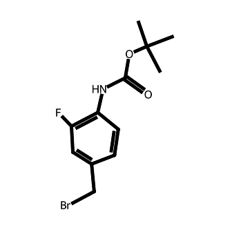 CC(C)(C)OC(=O)Nc1ccc(CBr)cc1F